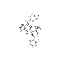 Nc1ccc(-c2c(F)cccc2F)nc1C(=O)Nc1cnsc1OCC1CCNCC1